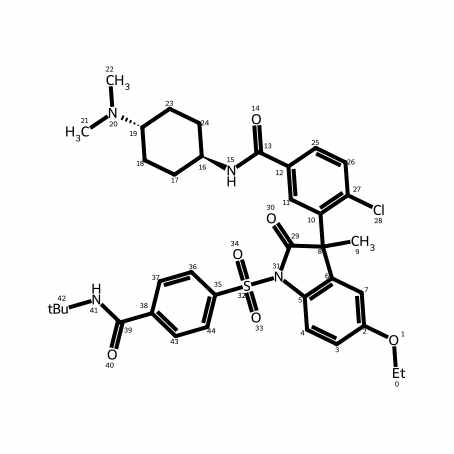 CCOc1ccc2c(c1)C(C)(c1cc(C(=O)N[C@H]3CC[C@H](N(C)C)CC3)ccc1Cl)C(=O)N2S(=O)(=O)c1ccc(C(=O)NC(C)(C)C)cc1